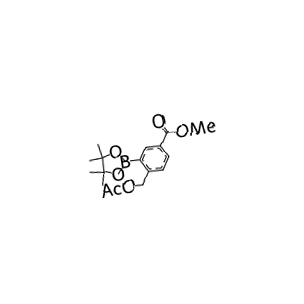 COC(=O)c1ccc(COC(C)=O)c(B2OC(C)(C)C(C)(C)O2)c1